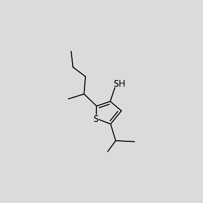 CCCC(C)c1sc(C(C)C)cc1S